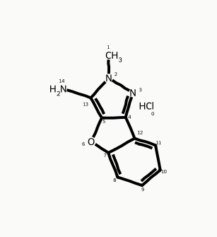 Cl.Cn1nc2c(oc3ccccc32)c1N